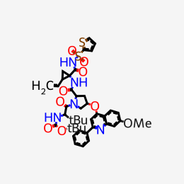 C=CC1CC1(NC(=O)C1CC(Oc2cc(-c3ccccc3)nc3cc(OC)ccc23)CN1C(=O)C(NC(=O)OC(C)(C)C)C(C)(C)C)C(=O)NS(=O)(=O)c1cccs1